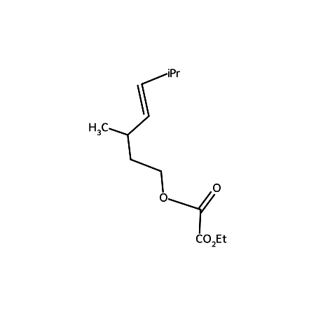 CCOC(=O)C(=O)OCCC(C)C=CC(C)C